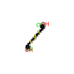 Oc1ccc(CCCSCCCSSCCCSCCCc2ccc(O)c(Cl)c2)cc1Cl